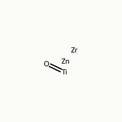 [O]=[Ti].[Zn].[Zr]